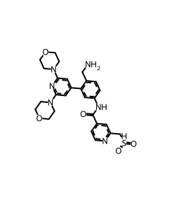 NCc1ccc(NC(=O)c2ccnc(C[SH](=O)=O)c2)cc1-c1cc(N2CCOCC2)nc(N2CCOCC2)c1